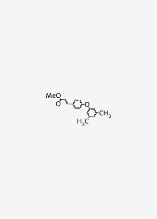 COC(=O)/C=C/c1ccc(Oc2cc(C)cc(C)c2)cc1